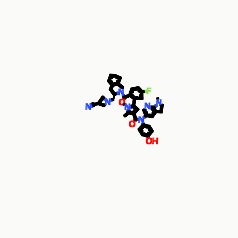 Cc1c(C(=O)N(c2ccc(O)cc2)c2cnc3c(c2)CCN3C)cc(-c2cc(F)ccc2C(=O)N2Cc3ccccc3C[C@H]2CN2CC(C#N)C2)n1C